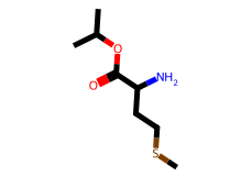 CSCCC(N)C(=O)OC(C)C